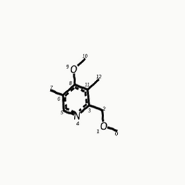 COCc1ncc(C)c(OC)c1C